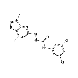 Cc1cc(NNC(=O)Nc2cc(Cl)nc(Cl)c2)nc2c1cnn2C